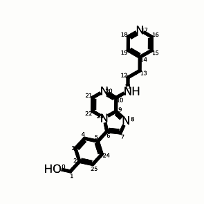 OCc1ccc(-c2cnc3c(NCCc4ccncc4)nccn23)cc1